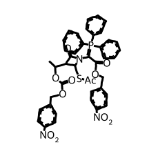 CC(=O)SC1C(C(C)OC(=O)OCc2ccc([N+](=O)[O-])cc2)C(=O)N1C(C(=O)OCc1ccc([N+](=O)[O-])cc1)=P(c1ccccc1)(c1ccccc1)c1ccccc1